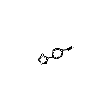 [C]#Cc1ccc(-c2cnco2)cc1